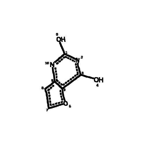 Oc1nc(O)c2occc2n1